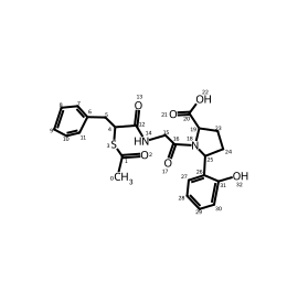 CC(=O)SC(Cc1ccccc1)C(=O)NCC(=O)N1C(C(=O)O)CCC1c1ccccc1O